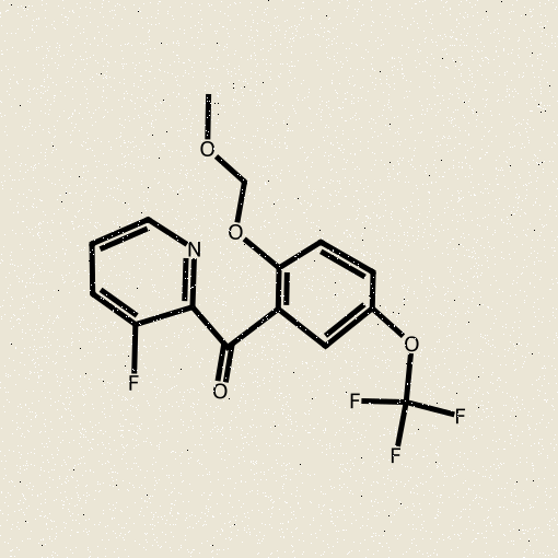 COCOc1ccc(OC(F)(F)F)cc1C(=O)c1ncccc1F